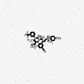 COC(=O)C1=C(C)N(c2cccc(C(F)(F)F)c2)c2n[nH]c(=O)n2[C@@H]1c1ccc(C#N)cc1CCC[N+](C)(C)[C@H]1CC[C@H](O)CC1